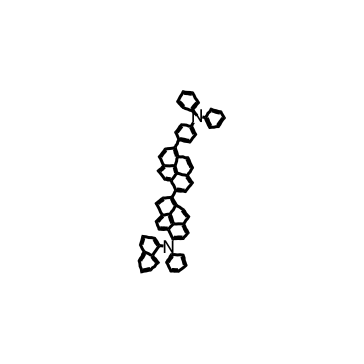 c1ccc(N(c2ccccc2)c2ccc(-c3ccc4ccc5c(-c6ccc7ccc8c(N(c9ccccc9)c9cccc%10ccccc9%10)ccc9ccc6c7c98)ccc6ccc3c4c65)cc2)cc1